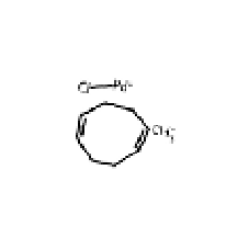 C1=C\CC/C=C\CC/1.[CH3-].[Cl][Pd+]